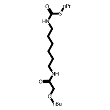 CCCCOCC(=O)NCCCCCCNC(=O)SCCC